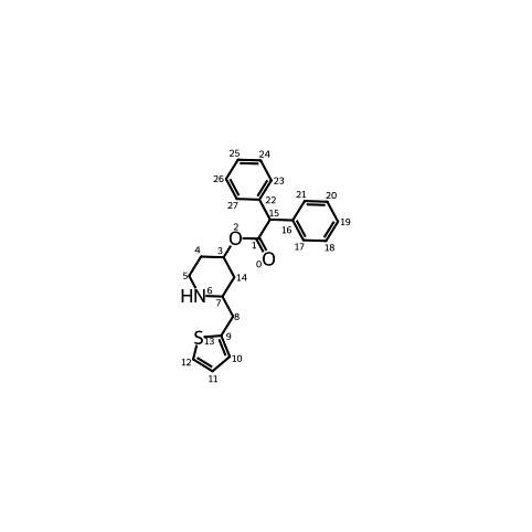 O=C(OC1CCNC(Cc2cccs2)C1)C(c1ccccc1)c1ccccc1